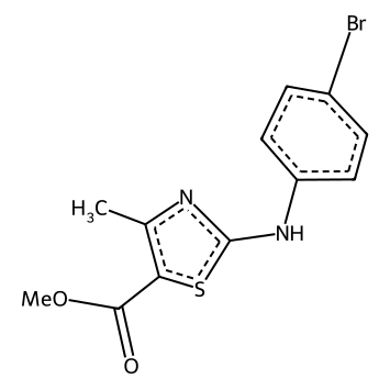 COC(=O)c1sc(Nc2ccc(Br)cc2)nc1C